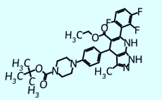 CCOC(=O)C1=C(c2c(F)ccc(F)c2F)Nc2[nH]nc(C)c2C1c1ccc(N2CCN(C(=O)OC(C)(C)C)CC2)cc1